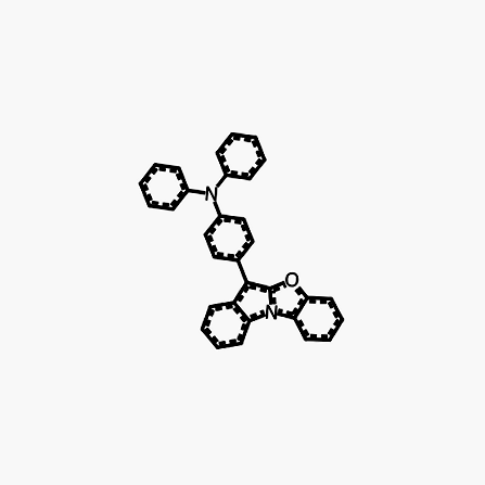 c1ccc(N(c2ccccc2)c2ccc(-c3c4ccccc4n4c3oc3ccccc34)cc2)cc1